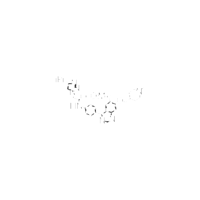 COc1cc2c(-c3ccc(NC(=O)Cn4cc(C(C)C)nn4)cc3)ncnc2cc1OCC1CCN(C)CC1